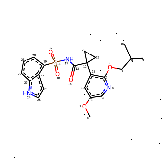 COc1cnc(OCC(C)C)c(C2(C(=O)NS(=O)(=O)c3cccc4[nH]ccc34)CC2)c1